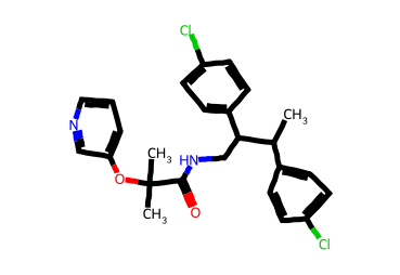 CC(c1ccc(Cl)cc1)C(CNC(=O)C(C)(C)Oc1cccnc1)c1ccc(Cl)cc1